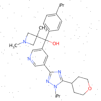 CC(C)c1ccc(C(O)(c2cncc(-c3nc(C4CCOCC4)n(C(C)C)n3)c2)C2(C)CN(C)C2)cc1